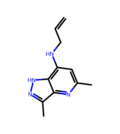 C=CCNc1cc(C)nc2c(C)n[nH]c12